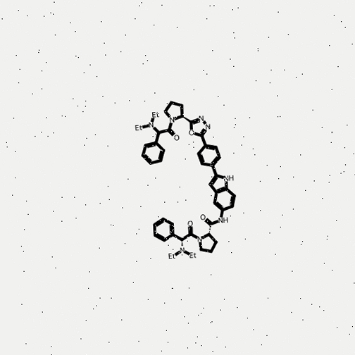 CCN(CC)C(C(=O)N1CCC[C@H]1c1nnc(-c2ccc(-c3cc4cc(NC(=O)[C@@H]5CCCN5C(=O)[C@@H](c5ccccc5)N(CC)CC)ccc4[nH]3)cc2)o1)c1ccccc1